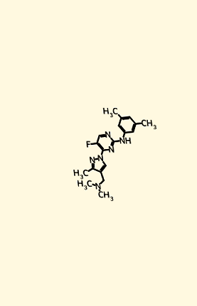 Cc1cc(C)cc(Nc2ncc(F)c(-n3cc(CN(C)C)c(C)n3)n2)c1